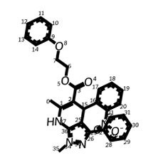 CC1=C(C(=O)OCCOc2ccccc2)C(c2ccccc2[N+](=O)[O-])c2c(-c3ccccc3)nn(C)c2N1